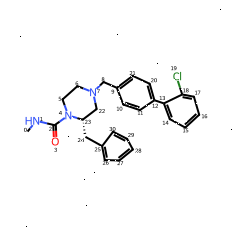 CNC(=O)N1CCN(Cc2ccc(-c3ccccc3Cl)cc2)C[C@@H]1Cc1ccccc1